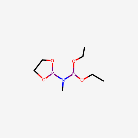 CCOP(OCC)N(C)P1OCCO1